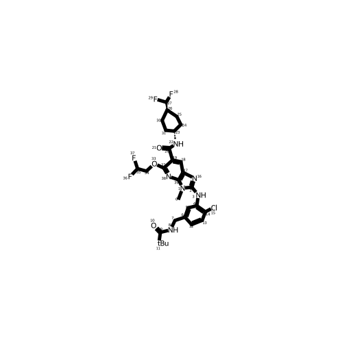 Cn1c(Nc2cc(CNC(=O)C(C)(C)C)ccc2Cl)nc2cc(C(=O)N[C@H]3CC[C@H](C(F)F)CC3)c(OCC(F)F)nc21